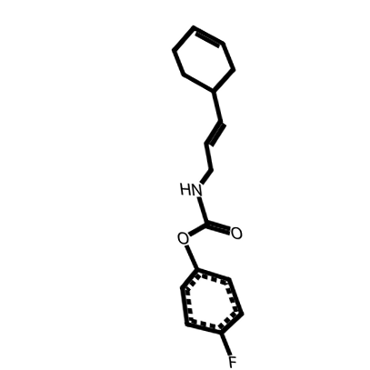 O=C(NC/C=C/C1CC=CCC1)Oc1ccc(F)cc1